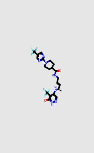 C[C@H](/C=C/CNC(=O)C1CCN(c2ncc(C(F)(F)F)cn2)CC1)Nc1cn[nH]c(=O)c1C(F)(F)F